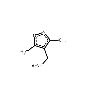 CC(=O)NCc1c(C)noc1C